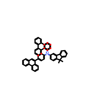 CC1(C)c2ccccc2-c2cc(N(c3ccc(-c4cc5ccccc5c5ccccc45)cc3)c3ccccc3-c3ccccc3-c3ccccc3-c3ccccc3)ccc21